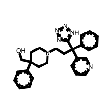 OCC1(c2ccccc2)CCN(CCC(c2ccccc2)(c2cccnc2)c2nnn[nH]2)CC1